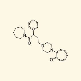 O=C(C(CCN1CCN(c2cccccc2=O)CC1)c1ccccc1)N1CCCCCC1